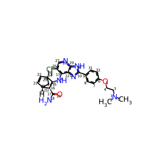 CN(C)CCOc1ccc(-c2nc3c(N[C@H]4[C@@H](C(N)=O)[C@@H]5C=C[C@H]4C5)c(Cl)cnc3[nH]2)cc1